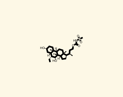 CC[C@H]1[C@@H](O)[C@@H]2[C@H](CC[C@]3(C)[C@@H]([C@H](C)CCOC(=O)NS(C)(=O)=O)CC[C@@H]23)[C@@]2(C)CC[C@@H](O)C[C@@H]12